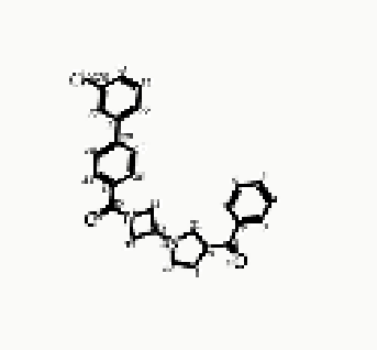 O=C(c1ccccc1)[C@H]1CCN(C2CN(C(=O)c3ccc(-c4cccc(Cl)c4)cc3)C2)C1